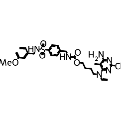 C=C/C(=C\C(=C)OC)CNS(=O)(=O)c1ccc(CNC(=O)OCCCCN(C=C)c2nc(Cl)nc(N)c2C)cc1